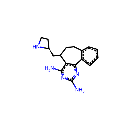 Nc1nc(N)c2c(n1)-c1ccccc1CCC2C[C@@H]1CCN1